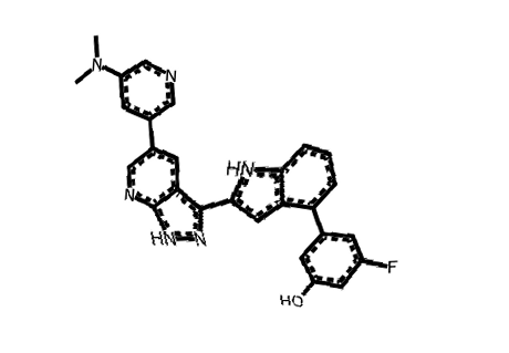 CN(C)c1cncc(-c2cnc3[nH]nc(-c4cc5c(-c6cc(O)cc(F)c6)cccc5[nH]4)c3c2)c1